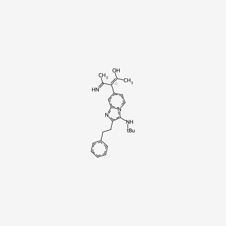 CC(=N)/C(=C(/C)O)c1ccn2c(NC(C)(C)C)c(CCc3ccccc3)nc2c1